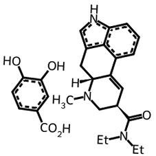 CCN(CC)C(=O)[C@@H]1C=C2c3cccc4[nH]cc(c34)C[C@H]2N(C)C1.O=C(O)c1ccc(O)c(O)c1